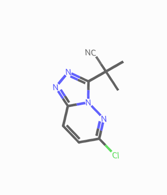 CC(C)(C#N)c1nnc2ccc(Cl)nn12